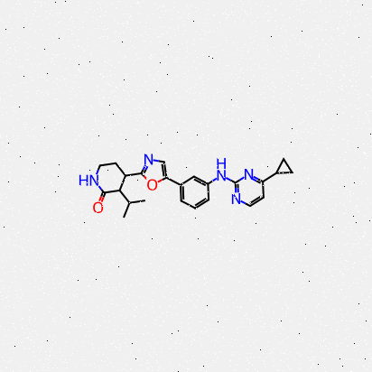 CC(C)C1C(=O)NCCC1c1ncc(-c2cccc(Nc3nccc(C4CC4)n3)c2)o1